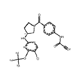 [2H]C([2H])([2H])Oc1nc(N[C@H]2CCN(C(=O)c3ccc(NC(=O)C#C)cc3)C2)ncc1Cl